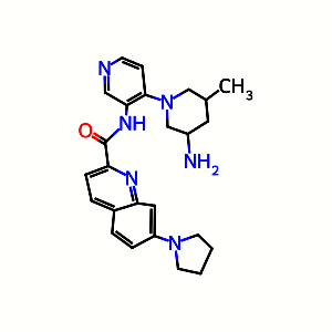 CC1CC(N)CN(c2ccncc2NC(=O)c2ccc3ccc(N4CCCC4)cc3n2)C1